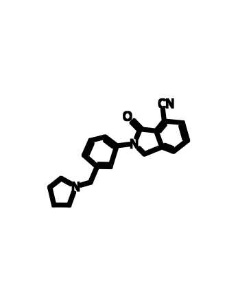 N#Cc1cccc2c1C(=O)N(c1cccc(CN3CCCC3)c1)C2